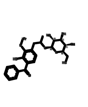 CCCOc1c(CC(C)O[C@@H]2O[C@H](CO)[C@@H](O)[C@H](O)[C@H]2O)ccc(C(=O)c2ccccc2)c1O